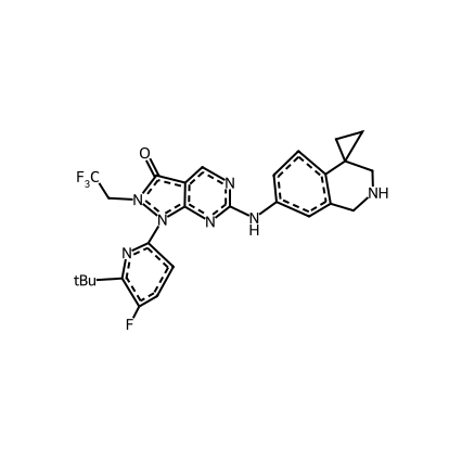 CC(C)(C)c1nc(-n2c3nc(Nc4ccc5c(c4)CNCC54CC4)ncc3c(=O)n2CC(F)(F)F)ccc1F